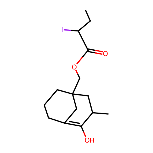 CCC(I)C(=O)OCC12CCCC(=C(O)C(C)C1)C2